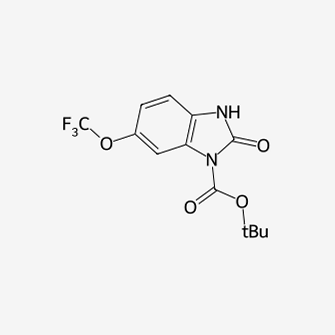 CC(C)(C)OC(=O)n1c(=O)[nH]c2ccc(OC(F)(F)F)cc21